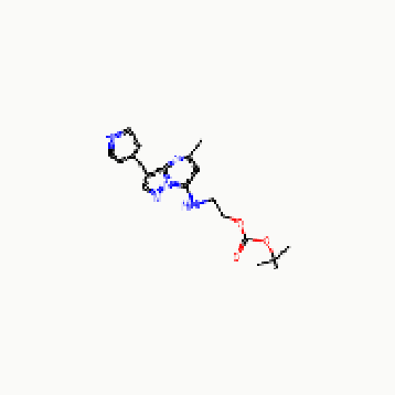 Cc1cc(NCCOC(=O)OC(C)(C)C)n2ncc(-c3ccncc3)c2n1